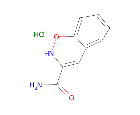 Cl.NC(=O)C1=Cc2ccccc2ON1